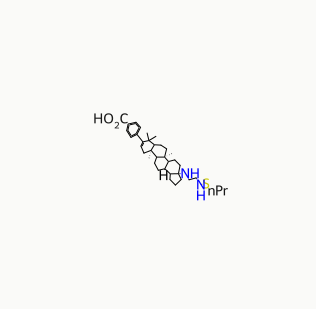 CCCSNCCN[C@]12CCCC1[C@H]1CCC3[C@@](C)(CCC4C(C)(C)C(c5ccc(C(=O)O)cc5)=CC[C@@]43C)C1CC2